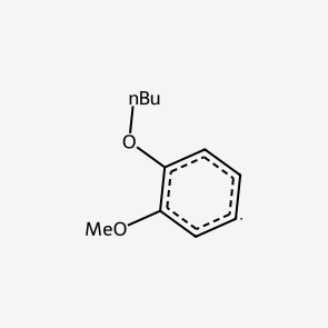 CCCCOc1cc[c]cc1OC